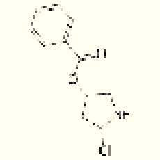 O=C(OC1CNC(Cl)C1)c1ccccc1